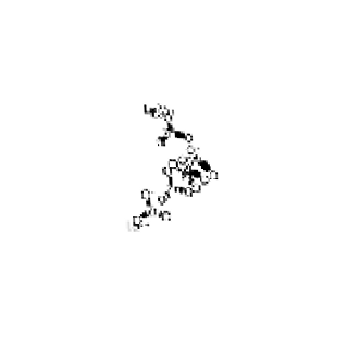 [La+3].[La+3].[La+3].[O]=[Al][O-].[O]=[Al][O-].[O]=[Al][O-].[O]=[Zr]([O-])[O-].[O]=[Zr]([O-])[O-].[O]=[Zr]([O-])[O-]